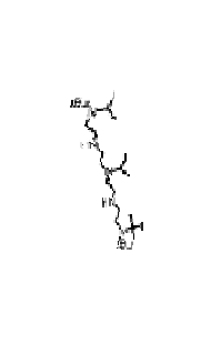 CC(I)N(CCNCCN(C(C)I)C(C)(C)C)CCNCCN(C(C)(C)C)C(C)(C)I